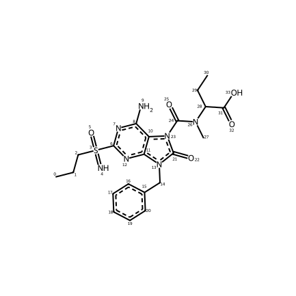 CCCS(=N)(=O)c1nc(N)c2c(n1)n(Cc1ccccc1)c(=O)n2C(=O)N(C)C(CC)C(=O)O